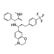 C=C(NC)[C@H](N[C@@H](CCc1ccc(C(F)(F)F)cc1)c1ccc2c(c1)OCCN2C)c1ccccc1